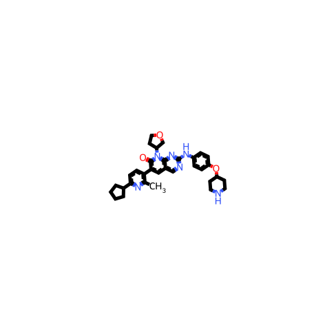 Cc1nc(C2CCCC2)ccc1-c1cc2cnc(Nc3ccc(OC4CCNCC4)cc3)nc2n(C2CCOC2)c1=O